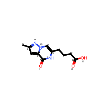 Cc1cc2c(=O)[nH]c(CCCC(=O)O)cn2n1